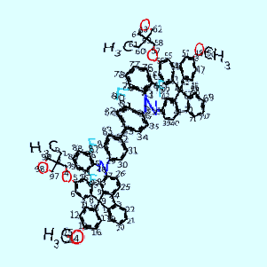 CCC1(COc2ccc(C3(c4ccc(OC)cc4)c4ccccc4-c4ccc(N(c5ccc(-c6ccc(N(c7ccc8c(c7)C(c7ccc(OC)cc7)(c7ccc(OCC9(CC)COC9)cc7)c7ccccc7-8)c7c(F)cccc7F)cc6)cc5)c5c(F)cccc5F)cc43)cc2)COC1